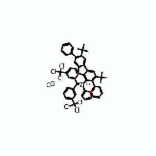 CC(C)(C)c1cc2c(cc1-c1ccccc1)Cc1c-2cc(C(C)(C)C)c(-c2ccccc2)[c]1[Zr+2]([C]1=CC=CC1)=[C](c1cccc(C(Cl)(Cl)Cl)c1)c1cccc(C(Cl)(Cl)Cl)c1.[Cl-].[Cl-]